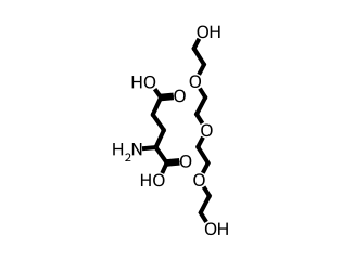 NC(CCC(=O)O)C(=O)O.OCCOCCOCCOCCO